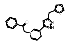 O=C(CN1C=CCC(c2cc(Cc3cccs3)n[nH]2)=C1)c1ccccc1